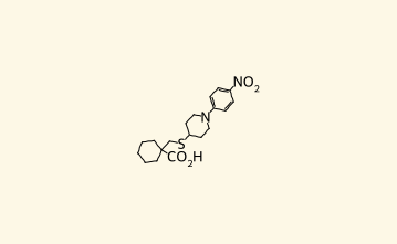 O=C(O)C1(CSC2CCN(c3ccc([N+](=O)[O-])cc3)CC2)CCCCC1